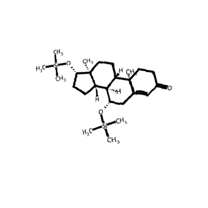 C[C@]12CC[C@H]3[C@@H]([C@@H](O[Si](C)(C)C)CC4=CC(=O)CC[C@@]43C)[C@@H]1CC[C@@H]2O[Si](C)(C)C